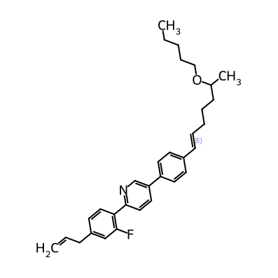 C=CCc1ccc(-c2ccc(-c3ccc(/C=C/CCCC(C)OCCCCC)cc3)cn2)c(F)c1